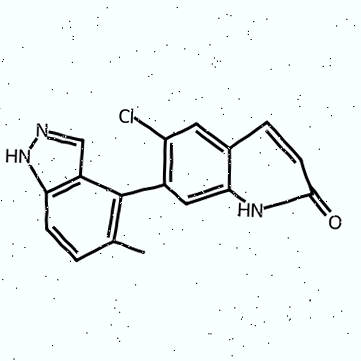 Cc1ccc2[nH]ncc2c1-c1cc2[nH]c(=O)ccc2cc1Cl